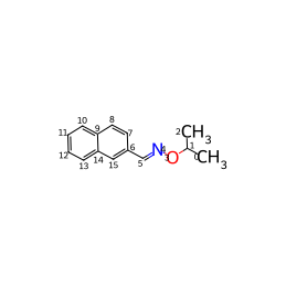 CC(C)O/N=C/c1ccc2ccccc2c1